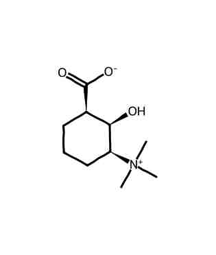 C[N+](C)(C)[C@H]1CCC[C@@H](C(=O)[O-])[C@H]1O